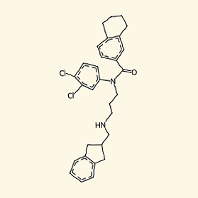 O=C(c1ccc2c(c1)CCCC2)N(CCCNCC1Cc2ccccc2C1)c1ccc(Cl)c(Cl)c1